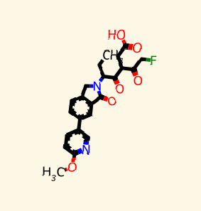 CCC(C(=O)C(CC(=O)O)C(=O)CF)N1Cc2ccc(-c3ccc(OC)nc3)cc2C1=O